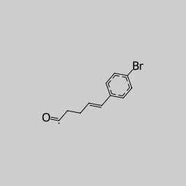 O=[C]CC/C=C/c1ccc(Br)cc1